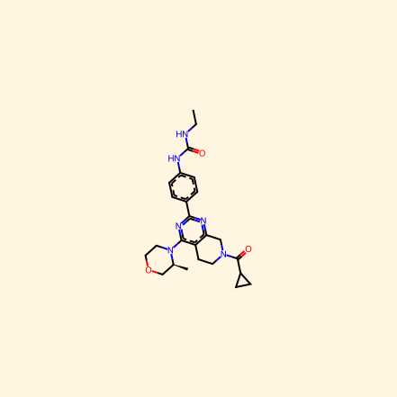 CCNC(=O)Nc1ccc(-c2nc3c(c(N4CCOC[C@@H]4C)n2)CCN(C(=O)C2CC2)C3)cc1